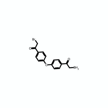 BCC(=O)c1ccc(Oc2ccc(C(=O)CBr)cc2)cc1